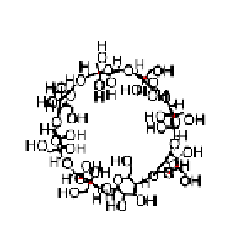 OCC1O[C@H]2O[C@@H]3C(CO)O[C@H](O[C@@H]4C(CO)O[C@H](O[C@@H]5C(CO)O[C@H](O[C@@H]6C(CO)O[C@H](O[C@@H]7C(CO)O[C@H](O[C@@H]8C(CO)OC(O[C@@H]9C(CO)O[C@H](OC(C2O)[C@@H]1O)C(O)C9O)[C@@H](O)C8O)C(O)C7O)C(O)[C@H]6O)C(O)C5O)C(O)C4O)C(O)C3O